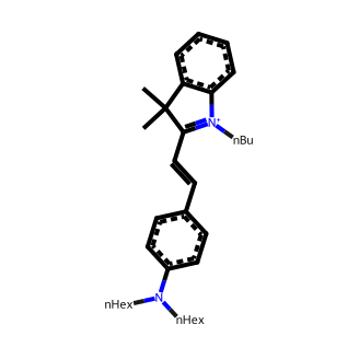 CCCCCCN(CCCCCC)c1ccc(/C=C/C2=[N+](CCCC)c3ccccc3C2(C)C)cc1